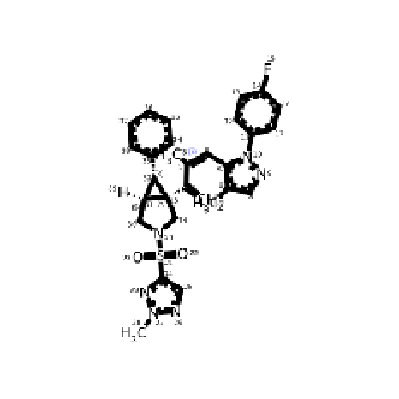 C=C(/C(C)=C\c1c(C)cnn1-c1ccc(F)cc1)[C@]12CN(S(=O)(=O)c3cnn(C)n3)C[C@H]1[C@@H]2c1ccccc1